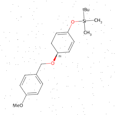 COc1ccc(CO[C@@H]2C=CC(O[Si](C)(C)C(C)(C)C)=CC2)cc1